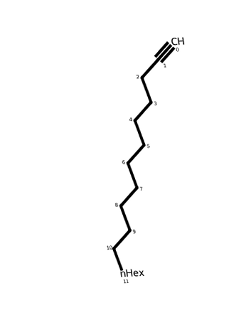 C#CCCCCCCCCCCCCCCC